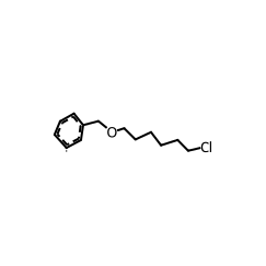 ClCCCCCCOCc1c[c]ccc1